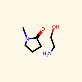 CN1CCCC1=O.NCCO